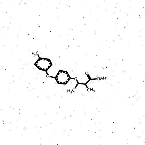 COC(=O)C(C)C(C)Oc1ccc(Oc2ccc(C(F)(F)F)cc2)cc1